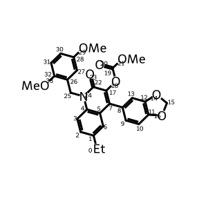 CCc1ccc2c(c1)c(-c1ccc3c(c1)OCO3)c(OC(=O)OC)c(=O)n2Cc1cc(OC)ccc1OC